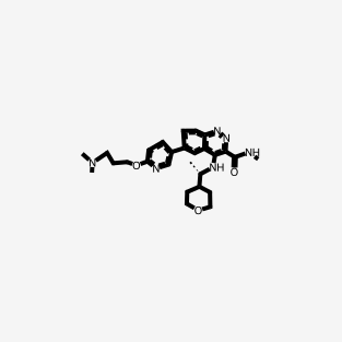 CNC(=O)c1nnc2ccc(-c3ccc(OCCCN(C)C)nc3)cc2c1N[C@@H](C)C1CCOCC1